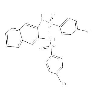 CC(C)c1ccc(S(=O)(=O)Nc2cc3ccccc3cc2NS(=O)(=O)c2ccc(C(C)C)cc2)cc1